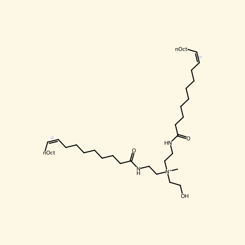 CCCCCCCC/C=C\CCCCCCCC(=O)NCC[N+](C)(CCO)CCNC(=O)CCCCCCC/C=C\CCCCCCCC